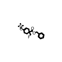 C[Si](C)(C)OC1=CCC(CF)(C(=O)OCc2ccccc2)CC1